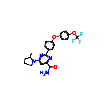 CC1CCCN1c1cc(C(N)=O)nc(-c2ccc(Oc3ccc(OC(F)(F)F)cc3)cc2)n1